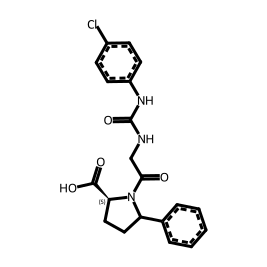 O=C(NCC(=O)N1C(c2ccccc2)CC[C@H]1C(=O)O)Nc1ccc(Cl)cc1